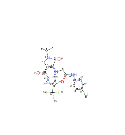 CC(C)N1Cc2c(n(CC(=O)Nc3ccc(Cl)cn3)c3cc(C(F)(F)F)nn3c2=O)C1=O